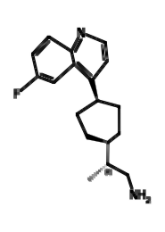 C[C@@H](CN)[C@H]1CC[C@@H](c2ccnc3ccc(F)cc32)CC1